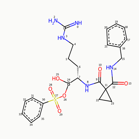 N=C(N)NCCC[C@H](NC(=O)C1(C(=O)NCc2ccccc2)CC1)B(O)OS(=O)(=O)c1ccccc1